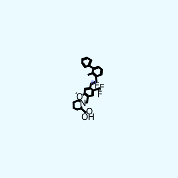 COc1cc(/C=C/c2cccc(-c3ccccc3)c2C)c(C(F)(F)F)cc1CN1CCCCC1C(=O)O